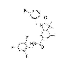 CC1(C)C(=O)N(Cc2cccc(F)c2)c2cc(C(=O)NCc3c(F)cc(F)cc3F)cc(I)c21